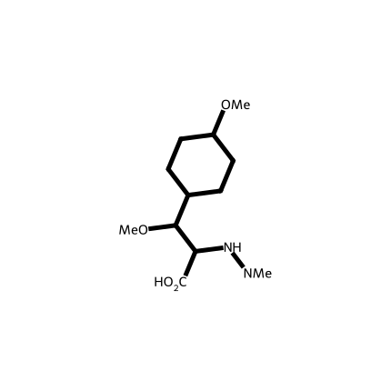 CNNC(C(=O)O)C(OC)C1CCC(OC)CC1